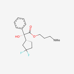 CNCCCOC(=O)[C@](O)(c1ccccc1)[C@@H]1CCC(F)(F)C1